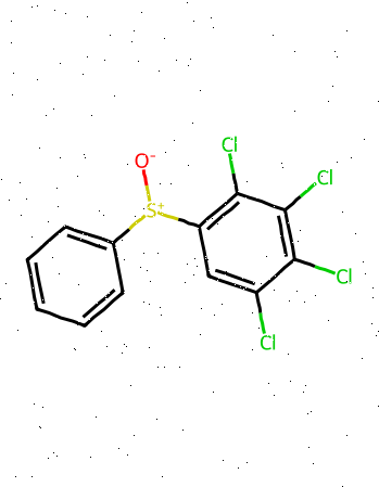 [O-][S+](c1ccccc1)c1cc(Cl)c(Cl)c(Cl)c1Cl